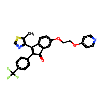 Cc1scnc1C1=C(c2ccc(C(F)(F)F)cc2)C(=O)c2cc(OCCOc3ccncc3)ccc21